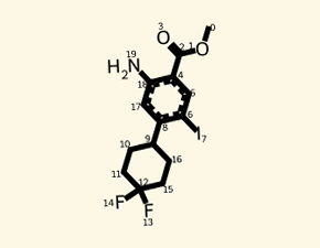 COC(=O)c1cc(I)c(C2CCC(F)(F)CC2)cc1N